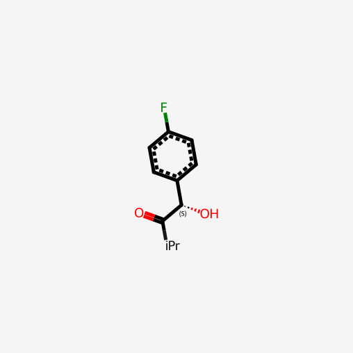 CC(C)C(=O)[C@@H](O)c1ccc(F)cc1